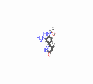 CC(C)C(=O)Nc1ccc(C2=NNC(=O)CC2C)cc1N